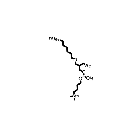 CCCCCCCCCCCCCCCCOCC(COP(O)OCCCC[N+](C)(C)C)CC(C)=O